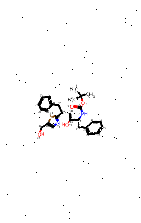 CC(C)(C)OC(=O)N[C@@H](Cc1ccccc1)[C@@H](O)C[C@@H](Cc1ccccc1)c1ncc(CO)s1